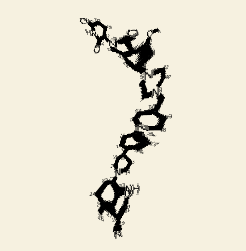 COc1cc(N2CCN(CC3CCN(c4ccc(C5CCN(c6ccc(C)c7c(C#N)c[nH]c67)CC5)cc4)CC3)CC2)cc2c1C(=O)N(C1CCC(=O)NC1=O)C2